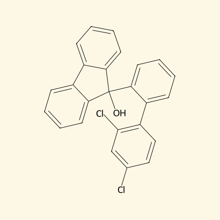 OC1(c2ccccc2-c2ccc(Cl)cc2Cl)c2ccccc2-c2ccccc21